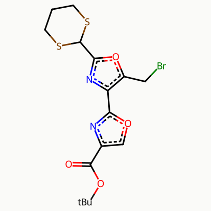 CC(C)(C)OC(=O)c1coc(-c2nc(C3SCCCS3)oc2CBr)n1